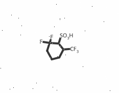 O=S(=O)(O)C1C(C(F)(F)F)CCCC1(F)F